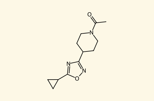 CC(=O)N1CCC(c2noc(C3CC3)n2)CC1